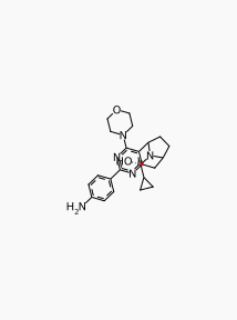 Nc1ccc(-c2nc3c(c(N4CCOCC4)n2)C2CCC(C3)N2[C@@H](O)C2CC2)cc1